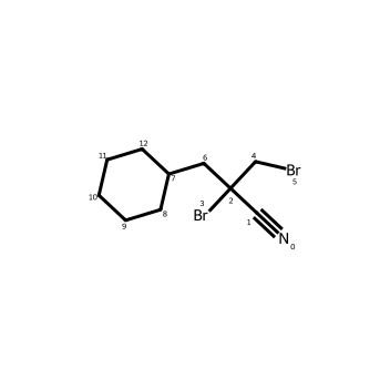 N#CC(Br)(CBr)CC1CCCCC1